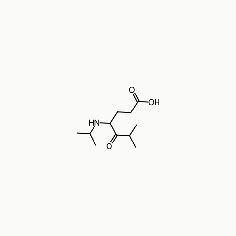 CC(C)NC(CCC(=O)O)C(=O)C(C)C